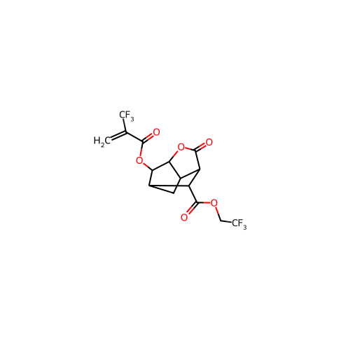 C=C(C(=O)OC1C2CC3C1OC(=O)C3C2C(=O)OCC(F)(F)F)C(F)(F)F